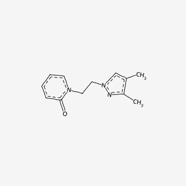 Cc1cn(CCn2ccccc2=O)nc1C